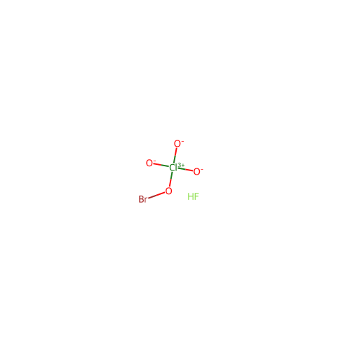 F.[O-][Cl+3]([O-])([O-])OBr